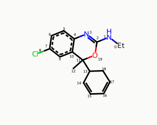 CCNC1=Nc2ccc(Cl)cc2C(C)(C2C=CC=CC2)O1